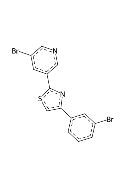 Brc1cccc(-c2csc(-c3cncc(Br)c3)n2)c1